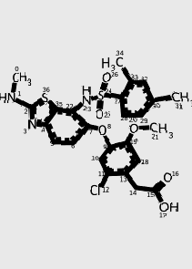 CNc1nc2ccc(Oc3cc(Cl)c(CC(=O)O)cc3OC)c(NS(=O)(=O)c3ccc(C)cc3C)c2s1